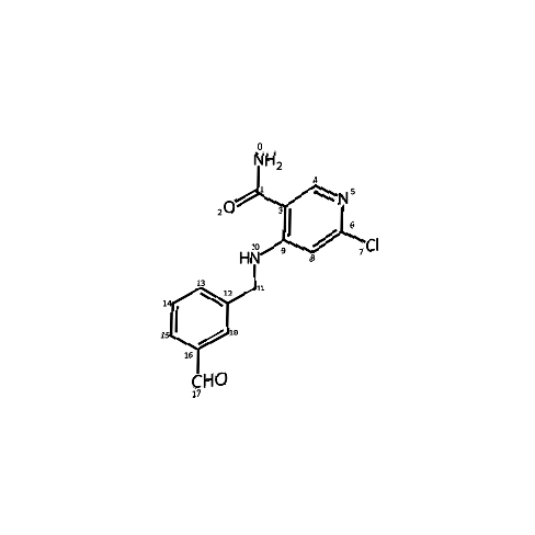 NC(=O)c1cnc(Cl)cc1NCc1cccc(C=O)c1